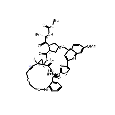 COc1ccc2c(O[C@@H]3C[C@@H](C(=O)N[C@]45C[C@H]4/C=C\CCCCCNc4ccccc4S(=O)(=O)NC5=O)N(C(=O)[C@@H](NC(=O)OC(C)(C)C)C(C)C)C3)cc(-c3csc(NC(C)C)n3)nc2c1